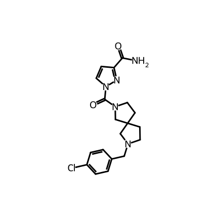 NC(=O)c1ccn(C(=O)N2CCC3(CCN(Cc4ccc(Cl)cc4)C3)C2)n1